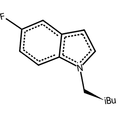 CC[C@H](C)Cn1ccc2cc(F)ccc21